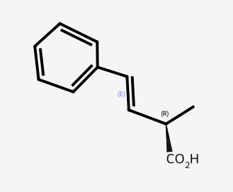 C[C@H](/C=C/c1ccccc1)C(=O)O